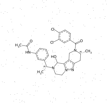 CC(=O)Nc1cccc([C@@H](C)N2CCn3nc4c(c3C2O)CN(C(=O)c2ccc(Cl)c(Cl)c2)[C@H](C)C4)c1